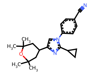 CC1(C)CC(c2cn(-c3ccc(C#N)cc3)c(C3CC3)n2)CC(C)(C)O1